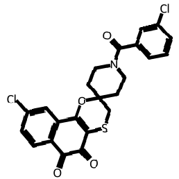 O=C1C(=O)c2ccc(Cl)cc2C2=C1SCC1(CCN(C(=O)c3cccc(Cl)c3)CC1)O2